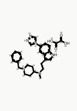 CN(CCc1c[nH]c2ccc(-n3cnnc3)cc12)C1CCN(Cc2ccccc2)CC1.O=C(O)C(=O)O